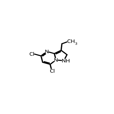 CCC1=C2N=C(Cl)C=C(Cl)N2NC1